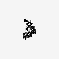 N#Cc1cc(Br)ccc1N1CCC(Nc2ccc(C(F)(F)F)cn2)C1